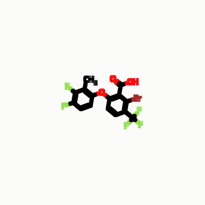 Cc1c(Oc2ccc(C(F)(F)F)c(Br)c2C(=O)O)ccc(F)c1F